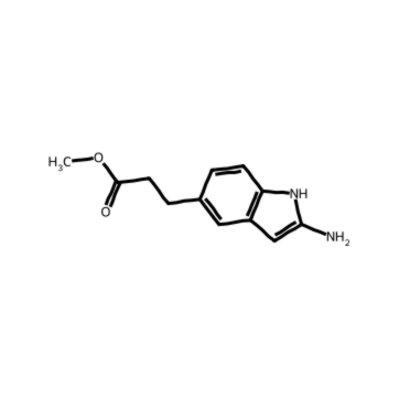 COC(=O)CCc1ccc2[nH]c(N)cc2c1